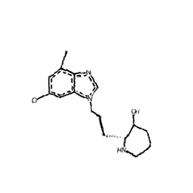 Cc1cc(Cl)cc2c1ncn2CCC[C@H]1NCCC[C@@H]1O